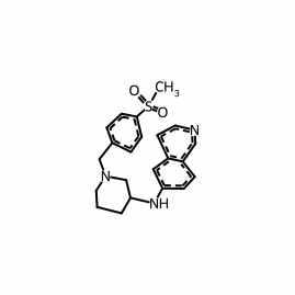 CS(=O)(=O)c1ccc(CN2CCCC(Nc3ccc4cnccc4c3)C2)cc1